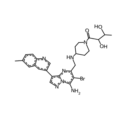 Cc1ccc2ncc(-c3cnn4c(N)c(Br)c(CNC5CCN(C(=O)C(O)C(C)O)CC5)nc34)cc2c1